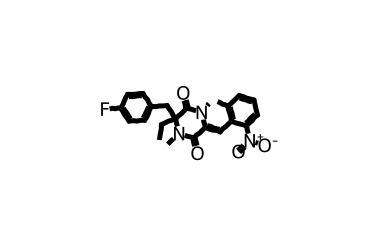 CCC1(Cc2ccc(F)cc2)C(=O)N(C)C(=Cc2c(C)cccc2[N+](=O)[O-])C(=O)N1C